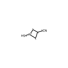 N#CC1CN(S)C1